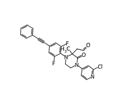 CC1(CC=O)C(=O)N(c2ccnc(Cl)c2)CCN1c1c(F)cc(C#Cc2ccccc2)cc1F